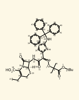 CC(C)(C)OC(=O)C(C)(C)O/N=C(\C(=O)NC1C(=O)N2C(C(=O)O)=C(CI)CS[C@H]12)c1csc(NC(c2ccccc2)(c2ccccc2)c2ccccc2)n1